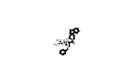 CN(C)CS(=O)(=O)NC(COCc1ccccc1)C(=O)N1CCC2(C=Cc3ccccc32)CC1